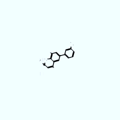 CC1=CC(C)(C)Nc2c(C)cc(-c3cccc([N+](=O)[O-])c3)cc21